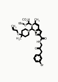 C=CCOC1(C)CCN(C2N(C(OC(C)(C)C)C(=O)O)C(C)=Cc3cc(C(=O)NCC(=O)Cc4cccc(Br)c4)nn32)CC1